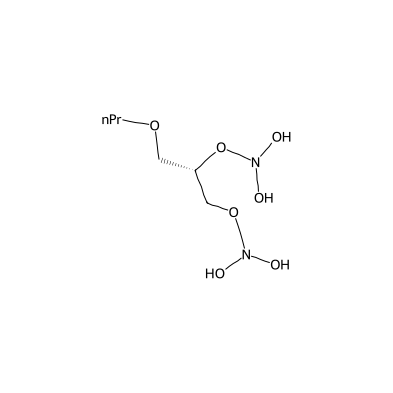 CCCOC[C@@H](CON(O)O)ON(O)O